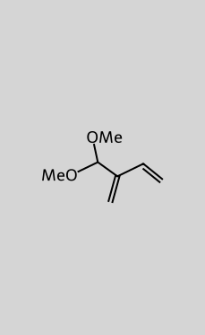 C=CC(=C)C(OC)OC